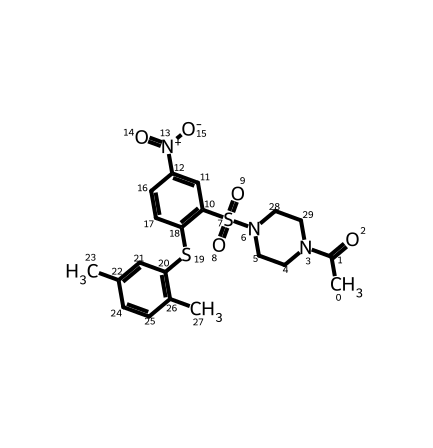 CC(=O)N1CCN(S(=O)(=O)c2cc([N+](=O)[O-])ccc2Sc2cc(C)ccc2C)CC1